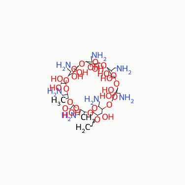 C=CCOC1C2OC(C)C(CN)OC(C(O)O)OC(C)C(CN)OC(C(O)O)OC3C(CN)OC(OC4C(CN)OC(OC5C(CN)OC(OC6C(CN)OC(OC(C(CN)O2)C1O)C(O)C6O)C(O)C5O)C(O)C4O)C(O)C3O